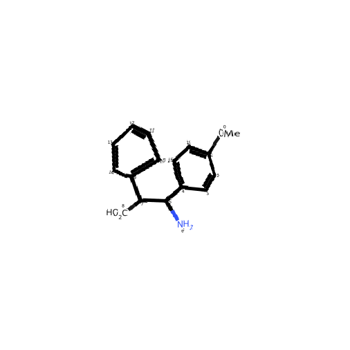 COc1ccc(C(N)C(C(=O)O)c2ccccc2)cc1